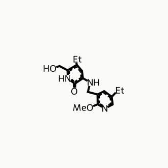 CCc1cnc(OC)c(CNc2cc(CC)c(CO)[nH]c2=O)c1